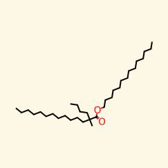 CCCCCCCCCCCCCCOC(=O)C(C)(CCCC)CCCCCCCCCCCC